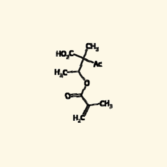 C=C(C)C(=O)OC(C)C(C)(C(C)=O)C(=O)O